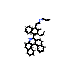 C=C/C=N\C=C\c1c(C)c(/C=C\C)c(-c2nc3ccc4ccccc4c3c3c2ccc2ccccc23)c2ccccc12